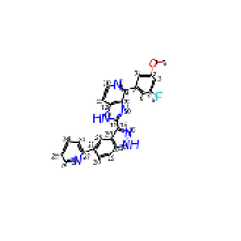 COc1cc(F)cc(-c2nccc3[nH]c(-c4n[nH]c5ccc(-c6ccccn6)cc45)nc23)c1